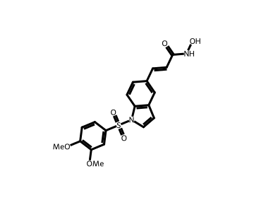 COc1ccc(S(=O)(=O)n2ccc3cc(C=CC(=O)NO)ccc32)cc1OC